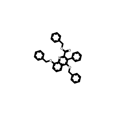 O=C(OCc1ccccc1)c1nc2c(OCc3ccccc3)cccc2c(OCc2ccccc2)c1-c1ccccc1